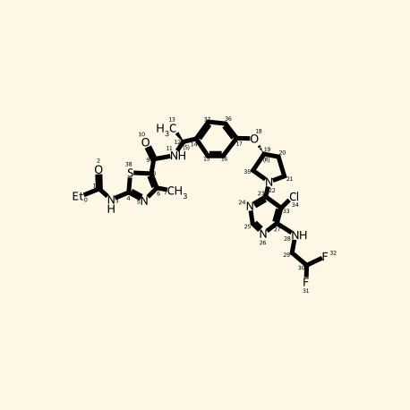 CCC(=O)Nc1nc(C)c(C(=O)N[C@@H](C)c2ccc(O[C@@H]3CCN(c4ncnc(NCC(F)F)c4Cl)C3)cc2)s1